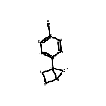 Fc1ccc(C23CCC2O3)cc1